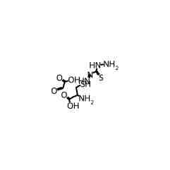 N=NC(=S)NN.NC(CS)C(=O)O.O=CC(=O)O